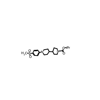 CC(C)OC(=O)N1CCC(C2CCN(c3ccc(S(C)(=O)=O)cc3)CC2)CC1